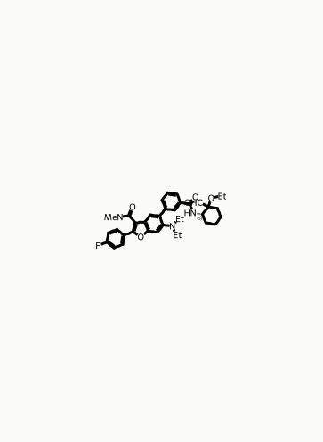 CCOC1(C=O)CCCC[C@@H]1NC(=O)c1cccc(-c2cc3c(C(=O)NC)c(-c4ccc(F)cc4)oc3cc2N(CC)CC)c1